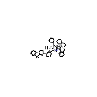 CC1(C)c2ccccc2-c2ccc(-c3cccc(C/N=C(\NC(N)c4ccccc4)c4c5ccccc5cc5ccc6ccccc6c45)c3)cc21